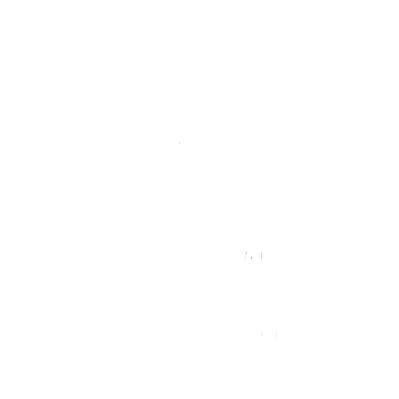 C=CC(=O)NCCCCOc1cccc2ccccc12